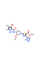 CCOC(=O)c1sc(N2CC[C@@H](NC(=O)c3[nH]c(C)c(Cl)c3Br)[C@@H](OCC)C2)nc1-c1ncnn1C